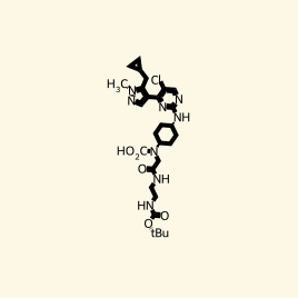 Cn1ncc(-c2nc(N[C@H]3CC[C@H](N(CC(=O)NCCNC(=O)OC(C)(C)C)C(=O)O)CC3)ncc2Cl)c1CC1CC1